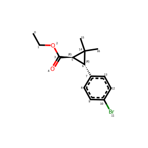 CCOC(=O)[C@@H]1[C@@H](c2ccc(Br)cc2)C1(C)C